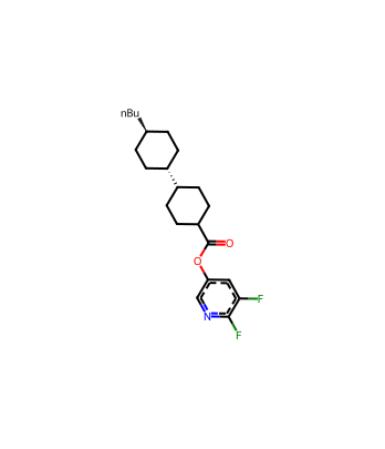 CCCC[C@H]1CC[C@H](C2CCC(C(=O)Oc3cnc(F)c(F)c3)CC2)CC1